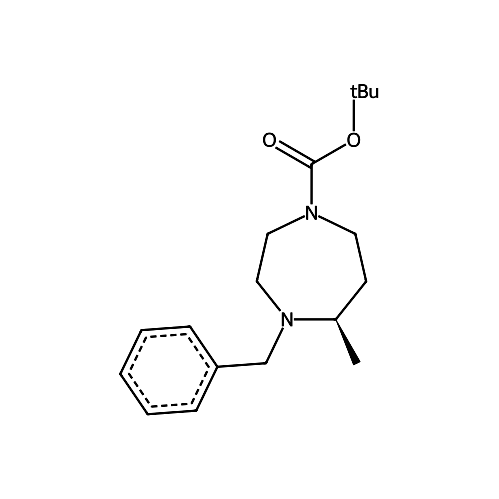 C[C@@H]1CCN(C(=O)OC(C)(C)C)CCN1Cc1ccccc1